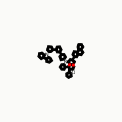 c1cc(-c2ccc(N(c3cccc(-c4ccc5c(ccc6ccccc65)c4)c3)c3ccccc3-c3cccc4oc5ccccc5c34)cc2)cc(-c2cccc(-n3c4ccccc4c4ccccc43)c2)c1